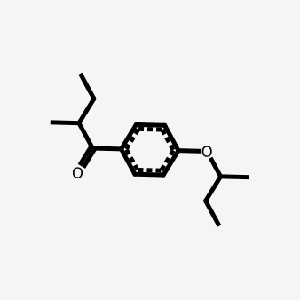 CCC(C)Oc1ccc(C(=O)C(C)CC)cc1